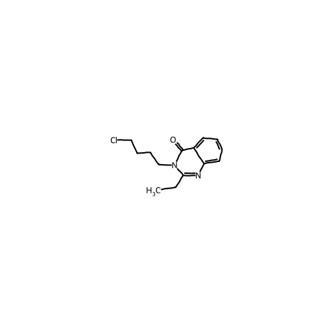 CCc1nc2ccccc2c(=O)n1CCCCCl